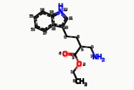 CCOC(=O)C(CN)CCc1c[nH]c2ccccc12